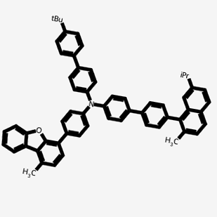 Cc1ccc2ccc(C(C)C)cc2c1-c1ccc(-c2ccc(N(c3ccc(-c4ccc(C(C)(C)C)cc4)cc3)c3ccc(-c4ccc(C)c5c4oc4ccccc45)cc3)cc2)cc1